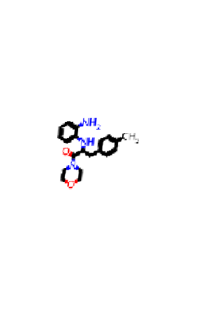 Cc1ccc(CC(Nc2ccccc2N)C(=O)N2CCOCC2)cc1